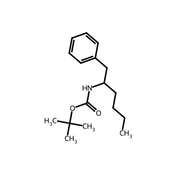 CCCCC(Cc1ccccc1)NC(=O)OC(C)(C)C